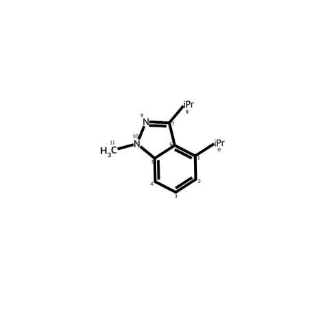 CC(C)c1cccc2c1c(C(C)C)nn2C